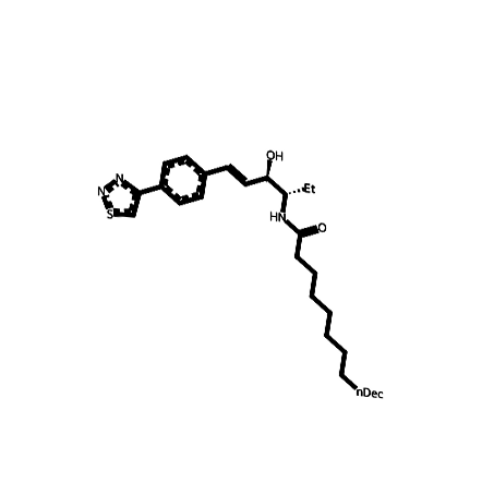 CCCCCCCCCCCCCCCCCC(=O)N[C@@H](CC)[C@H](O)C=Cc1ccc(-c2csnn2)cc1